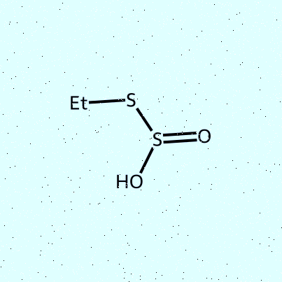 CCSS(=O)O